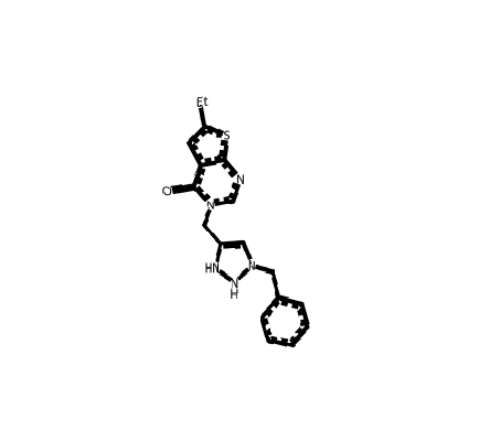 CCc1cc2c(=O)n(CC3=CN(Cc4ccccc4)NN3)cnc2s1